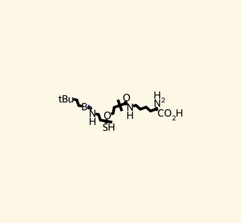 CC(C)(C)CC/B=C\NCCC(C)(S)OCCC(C)(C)C(=O)NCCCCC(N)C(=O)O